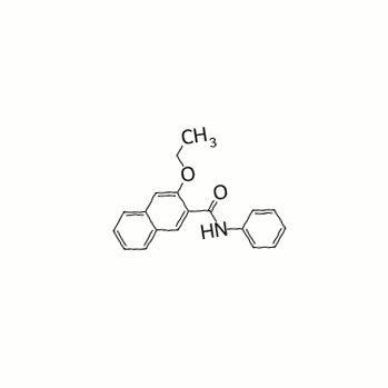 CCOc1cc2ccccc2cc1C(=O)Nc1ccccc1